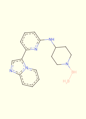 BBN1CCC(Nc2cccc(-c3cnc4ccccn34)n2)CC1